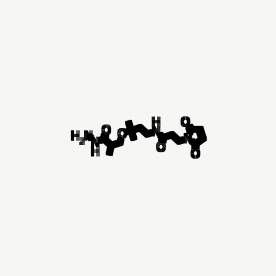 CC(COC(C)(C)CCNC(=O)CCN1C(=O)C=CC1=O)C(=O)NN